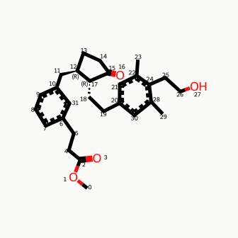 COC(=O)CCc1cccc(C[C@H]2CCC(=O)[C@@H]2CCc2cc(C)c(CCO)c(C)c2)c1